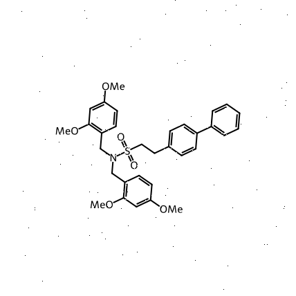 COc1ccc(CN(Cc2ccc(OC)cc2OC)S(=O)(=O)CCc2ccc(-c3ccccc3)cc2)c(OC)c1